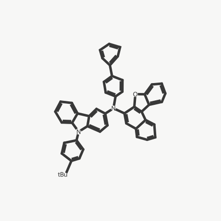 CC(C)(C)c1ccc(-n2c3ccccc3c3cc(N(c4ccc(-c5ccccc5)cc4)c4cc5ccccc5c5c4oc4ccccc45)ccc32)cc1